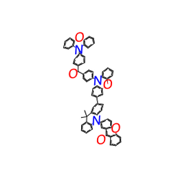 CC1(C)c2ccccc2N(c2ccc3oc4ccccc4c(=O)c3c2)c2ccc(-c3ccc4c(c3)Oc3ccccc3N4c3ccc(C(=O)c4ccc(N5c6ccccc6Oc6ccccc65)cc4)cc3)cc21